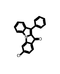 O=C1c2ccc(Cl)cc2-n2c1c(-c1ccccc1)c1ccccc12